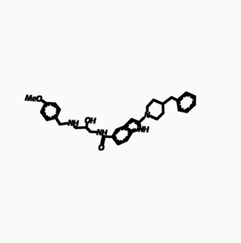 COc1ccc(CNCC(O)CNC(=O)c2ccc3[nH]c(N4CCC(Cc5ccccc5)CC4)cc3c2)cc1